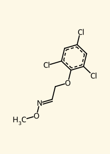 CON=CCOc1c(Cl)cc(Cl)cc1Cl